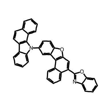 c1ccc2c(c1)ccc1c3ccccc3n(-c3ccc4oc5cc(-c6nc7ccccc7o6)c6ccccc6c5c4c3)c21